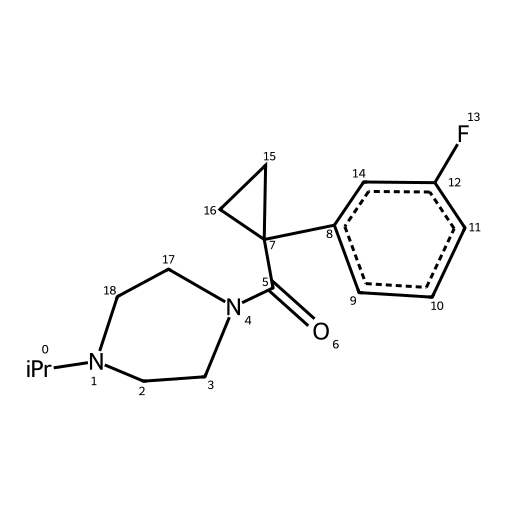 CC(C)N1CCN(C(=O)C2(c3cccc(F)c3)CC2)CC1